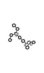 C1=CC2C(c3ccc(-c4ccc(-c5nc(-c6cccc(-c7ccccc7)c6)cc(-c6cccc(-c7ccccc7)c6)n5)cc4)cc3)=Nc3ccccc3C2c2oc3ccccc3c21